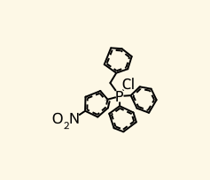 O=[N+]([O-])c1ccc(P(Cl)(Cc2ccccc2)(c2ccccc2)c2ccccc2)cc1